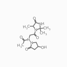 CC(=O)N(CC(=O)N1C(C)C(=O)NC1(C)C)N1CC(O)CC1=O